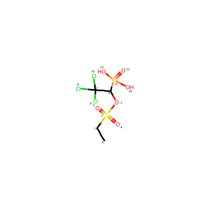 CCS(=O)(=O)OC(C(Cl)(Cl)Cl)P(=O)(O)O